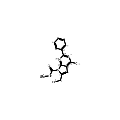 CC(C)(C)OC(=O)n1c(CBr)cc2c(Cl)nc(-c3ccccc3)nc21